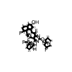 C#Cc1c(F)ccc2cc(O)cc(-c3ncc4c(N5C[C@H]6CC[C@@](C(F)F)(C5)N6)nc(OC[C@@]56CCCN5C[C@H](F)C6)nc4c3F)c12